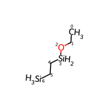 CCO[SiH2]CC[SiH3]